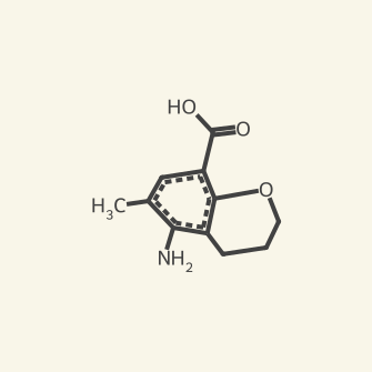 Cc1cc(C(=O)O)c2c(c1N)CCCO2